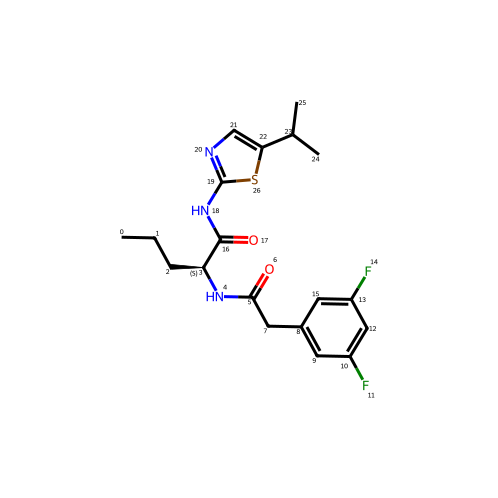 CCC[C@H](NC(=O)Cc1cc(F)cc(F)c1)C(=O)Nc1ncc(C(C)C)s1